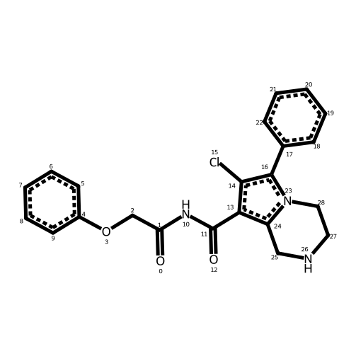 O=C(COc1ccccc1)NC(=O)c1c(Cl)c(-c2ccccc2)n2c1CNCC2